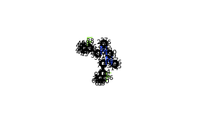 CC1(C)c2cc(-c3cccc(N(c4ccccc4)c4cccc(N(c5ccccc5)c5cccc(-c6cc(F)c7c(c6)C(C)(C)C(C)(C)C7(C)C)c5)c4)c3)cc(F)c2C(C)(C)C1(C)C